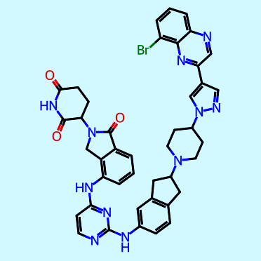 O=C1CCC(N2Cc3c(Nc4ccnc(Nc5ccc6c(c5)CC(N5CCC(n7cc(-c8cnc9cccc(Br)c9n8)cn7)CC5)C6)n4)cccc3C2=O)C(=O)N1